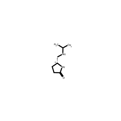 CC(C)NC[C@H]1CCC(=O)N1